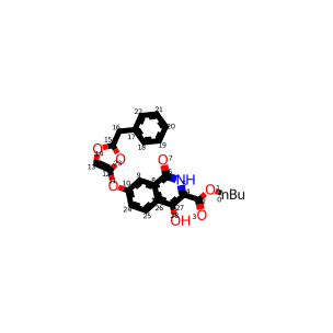 CCCCOC(=O)c1[nH]c(=O)c2cc(OC3=COC(Cc4ccccc4)O3)ccc2c1O